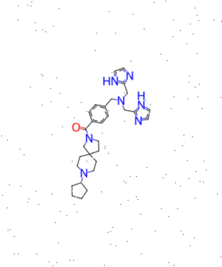 O=C(c1ccc(CN(Cc2ncc[nH]2)Cc2ncc[nH]2)cc1)N1CCC2(CCN(C3CCCC3)CC2)C1